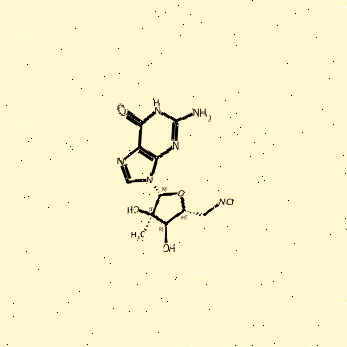 C[C@@]1(O)[C@H](O)[C@@H](CN=O)O[C@H]1n1cnc2c(=O)[nH]c(N)nc21